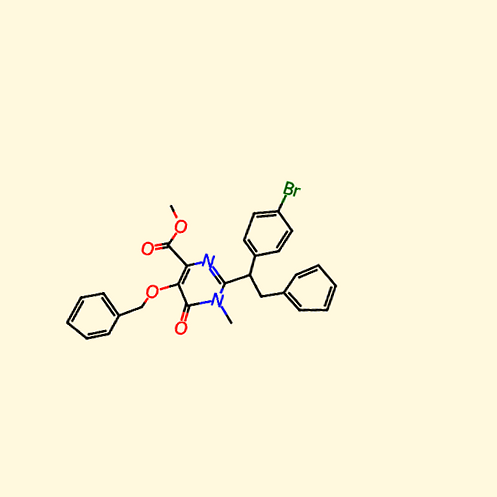 COC(=O)c1nc(C(Cc2ccccc2)c2ccc(Br)cc2)n(C)c(=O)c1OCc1ccccc1